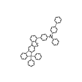 c1ccc(-c2ccc(N(c3ccccc3)c3ccc(-c4cccc5c4sc4cc6c(cc45)-c4ccccc4C6(c4ccccc4)c4ccccc4)cc3)cc2)cc1